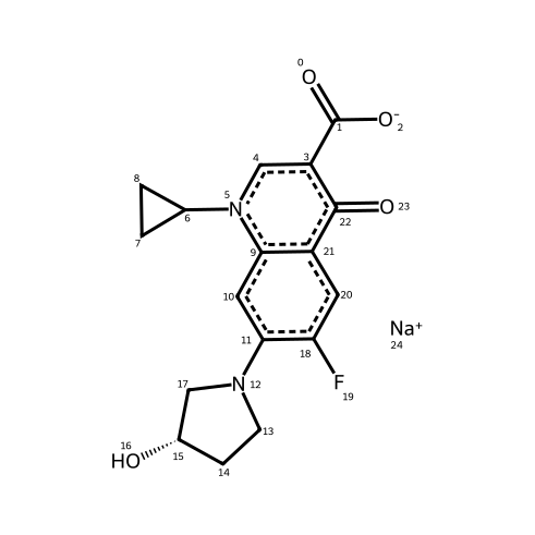 O=C([O-])c1cn(C2CC2)c2cc(N3CC[C@H](O)C3)c(F)cc2c1=O.[Na+]